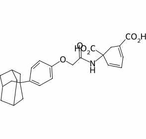 O=C(COc1ccc(C23CC4CC(CC(C4)C2)C3)cc1)NC1(C(=O)O)C=CC=C(C(=O)O)C1